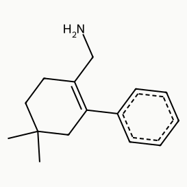 CC1(C)CCC(CN)=C(c2ccccc2)C1